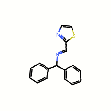 C(=N\C(c1ccccc1)c1ccccc1)/c1nccs1